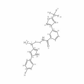 CN(CCNC(=O)c1cccc(-c2noc(C(F)(F)F)n2)c1)c1n[nH]c(-c2ccc(F)cc2)n1